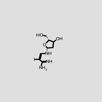 N=C(N)/C(I)=C\N[C@H]1CC(O)[C@@H](CO)O1